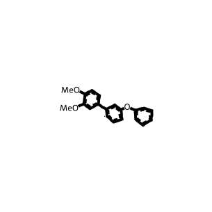 COc1ccc(-c2[c]ccc(Oc3ccccc3)c2)cc1OC